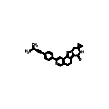 C=C(N)C#Cc1ccc(-c2cc3c(cn2)CCc2c-3nn3c2C(=O)NC2(CC2)C3)cc1